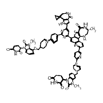 C[C@@H]1CNc2c(sc3c(-c4cc(-c5cc6c([nH]5)C5(CC5)CNC6=O)nc(-c5ccc(N6CCC(COc7cccc8c7n(C)c(=O)n8C7CCC(=O)NC7=O)CC6)cc5)n4)cc4nc(-c5ccc(N6CCN(Cc7ccc8c(c7)n(C)c(=O)n8C7CCC(=O)NC7=O)CC6)nc5)ccc4c23)C(=O)N1